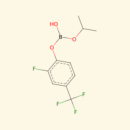 CC(C)OB(O)Oc1ccc(C(F)(F)F)cc1F